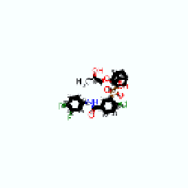 C[C@@H](O)COCC1(O)C2CC1CC(S(=O)(=O)c1cc(C(=O)Nc3ccc(F)c(F)c3)ccc1Cl)C2